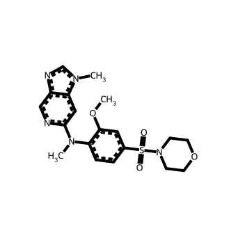 COc1cc(S(=O)(=O)N2CCOCC2)ccc1N(C)c1cc2c(cn1)ncn2C